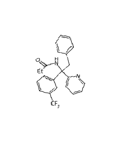 CCC(=O)NC(Cc1ccccc1)(c1cccc(C(F)(F)F)c1)c1ccccn1